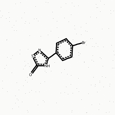 O=c1[nH]c(-c2ccc(Br)cc2)ns1